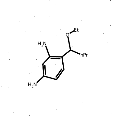 CCCC(OCC)c1ccc(N)cc1N